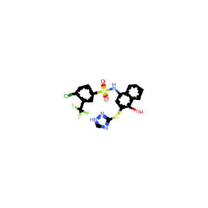 O=S(=O)(Nc1cc(Sc2nc[nH]n2)c(O)c2ccccc12)c1ccc(Cl)c(C(F)(F)F)c1